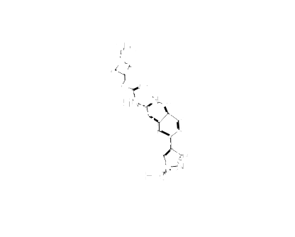 CN1CC(OC(=O)Nc2cc3cc(-c4cnn(C)c4)ccc3cn2)C1